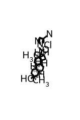 C[C@@]1(O)CC[C@H]2[C@H](CC[C@@H]3[C@@H]2CC[C@]2(C)[C@@H](C(=O)Cn4ncc(C#N)c4Cl)[C@H]4C[C@@]32C4)C1